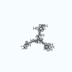 CC(=O)[C@@H](C)CNC(=O)CCCCCNC(=O)CN(CC(=O)NCCO[C@@H]1O[C@@H](C)[C@@H](O)[C@@H](O)[C@@H]1O)CC(=O)NCCO[C@@H]1O[C@@H](C)[C@@H](O)[C@@H](O)[C@@H]1O